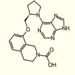 O=C(O)N1CCc2cccc(OC[C@H]3CCCN3c3ncnc4[nH]cnc34)c2C1